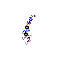 C=CC(=O)N1CC(Nc2cc3c(Nc4ccc(Oc5nc(-c6cnc(OC)nc6)cs5)cc4F)ncnc3cc2OC)C1